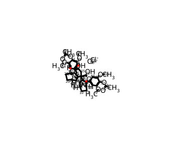 COc1cc(C[N+]2(C)[C@@H]3CC[C@H]2CC(C(CC(=O)O)(C(=O)O)C2C[C@H]4CC[C@@H](C2)[N+]4(C)Cc2cc(OC)c(OC(C)=O)c(OC)c2)C3)cc(OC)c1OC(C)=O.[Cl-].[Cl-]